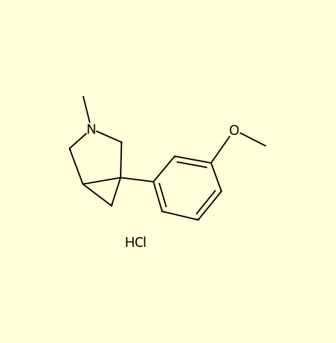 COc1cccc(C23CC2CN(C)C3)c1.Cl